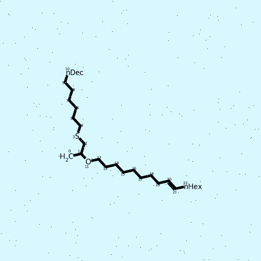 [CH2]C(CSCCCCCCCCCCCCCCCC)OCCCCCCCC/C=C/CCCCCC